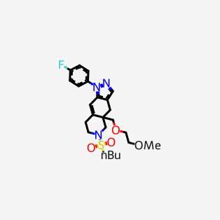 CCCCS(=O)(=O)N1CCC2=Cc3c(cnn3-c3ccc(F)cc3)CC2(COCCOC)C1